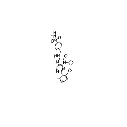 CNS(=O)(=O)c1ccc(CNc2nc3cnc(-c4c(C)ncnc4C4CC4)nc3n(C3CCC3)c2=O)nc1